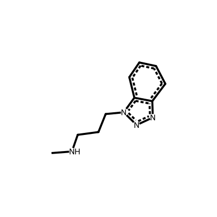 CNCCCn1nnc2ccccc21